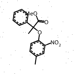 COC(=O)C(C)(Oc1ccc(C)cc1[N+](=O)[O-])c1ccccc1